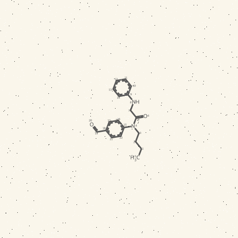 CCCCN(C(=O)CNc1ccccc1)c1ccc([C]=O)cc1